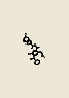 C=C(NC(C)c1nc2cc(Cl)ccc2[nH]1)c1cc(Cl)c(C(=O)N2CCCCC2)cc1/N=C\N